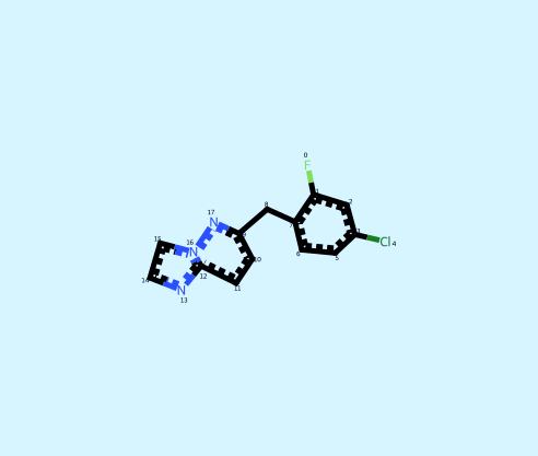 Fc1cc(Cl)ccc1Cc1ccc2nccn2n1